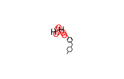 CC1CCC(Cc2ccc(COO[C@H]3CO[C@H]4[C@@H]3OC[C@H]4C)cc2)CC1